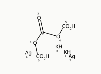 O=C(O)OC(=O)OC(=O)O.[Ag].[Ag].[KH].[KH]